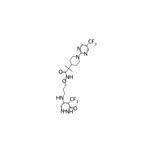 CC(C)(C(=O)NOCCCNc1cn[nH]c(=O)c1C(F)(F)F)C1CCN(c2ncc(C(F)(F)F)cn2)CC1